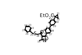 CCOC(=O)C1(c2ccc(-c3ccc(-c4onc(C)c4C(=O)CSCc4ccccc4)cc3)cc2)CC1